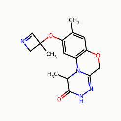 Cc1cc2c(cc1OC1(C)C=NC1)N1C(=NNC(=O)C1C)CO2